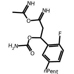 CCCCCc1ccc(F)c(C(CC(=N)OC(C)=N)OC(N)=O)c1